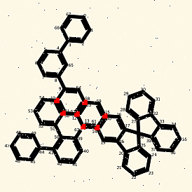 c1ccc(-c2cccc(-c3ccc(N(c4ccc5c(c4)-c4ccccc4C54c5ccccc5-c5ccccc54)c4cccc(-c5ccccc5)c4-c4ccccc4-c4ccccc4)cc3)c2)cc1